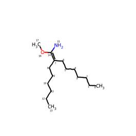 CCCCCCC/C(CCCCCC)=C(\N)OC